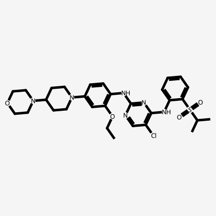 CCOc1cc(N2CCC(N3CCOCC3)CC2)ccc1Nc1ncc(Cl)c(Nc2ccccc2S(=O)(=O)C(C)C)n1